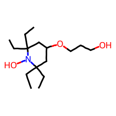 CCC1(CC)CC(OCCCO)CC(CC)(CC)N1O